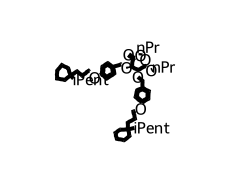 CCCOC(=O)[C@H](OCc1ccc(OCCCC2(C(C)CCC)CCCCC2)cc1)[C@@H](OCc1ccc(OCCCC2(C(C)CCC)CCCCC2)cc1)C(=O)OCCC